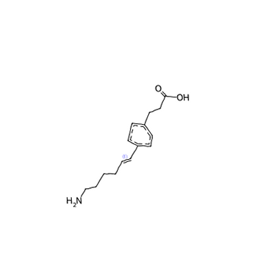 NCCCC/C=C/c1ccc(CCC(=O)O)cc1